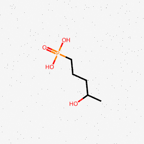 CC(O)[CH]CCP(=O)(O)O